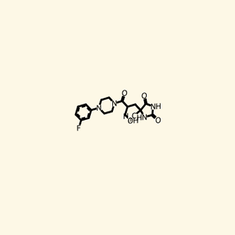 CC1(CC(CO)C(=O)N2CCN(c3cccc(F)c3)CC2)NC(=O)NC1=O